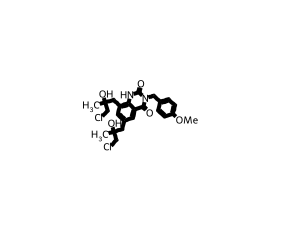 COc1ccc(Cn2c(=O)[nH]c3c(CC(C)(O)CCl)cc(CC(C)(O)CCl)cc3c2=O)cc1